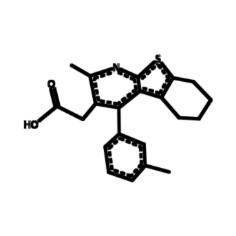 Cc1cccc(-c2c(CC(=O)O)c(C)nc3sc4c(c23)CCCC4)c1